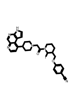 N#Cc1ccc(OCC2CCCN(C(=O)CN3CCC(c4ccnc5cnc6[nH]ccc6c45)CC3)C2I)cc1